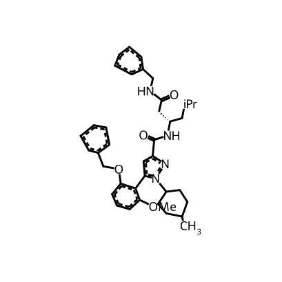 COc1cccc(OCc2ccccc2)c1-c1cc(C(=O)N[C@H](CC(=O)NCc2ccccc2)CC(C)C)nn1C1CCC(C)CC1